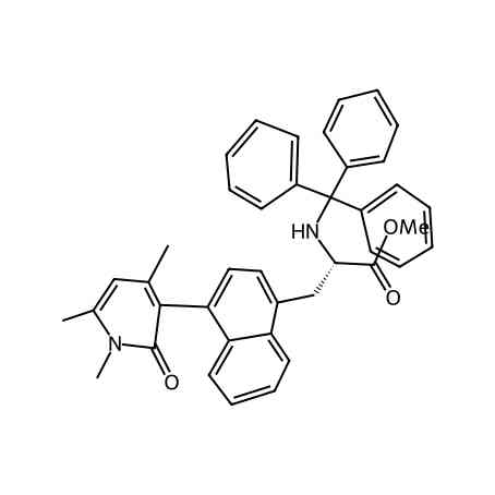 COC(=O)[C@H](Cc1ccc(-c2c(C)cc(C)n(C)c2=O)c2ccccc12)NC(c1ccccc1)(c1ccccc1)c1ccccc1